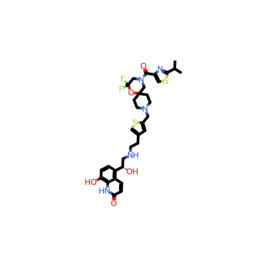 CC(C)c1nc(C(=O)N2CC(F)(F)OC3(CCN(Cc4cc(CCNC[C@H](O)c5ccc(O)c6[nH]c(=O)ccc56)cs4)CC3)C2)cs1